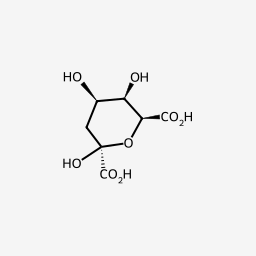 O=C(O)[C@H]1O[C@](O)(C(=O)O)C[C@@H](O)[C@H]1O